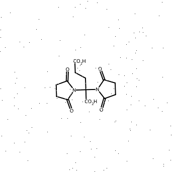 O=C(O)CCC(C(=O)O)(N1C(=O)CCC1=O)N1C(=O)CCC1=O